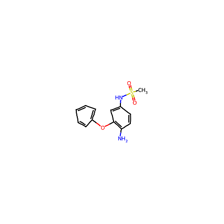 CS(=O)(=O)Nc1ccc(N)c(Oc2ccccc2)c1